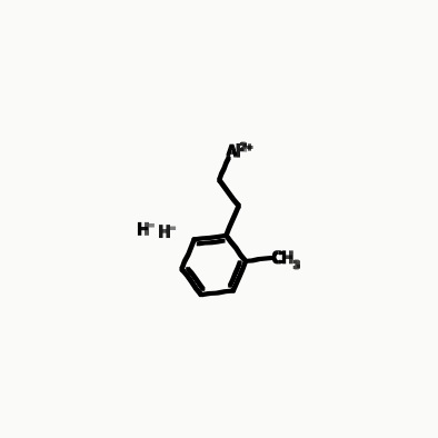 Cc1ccccc1C[CH2][Al+2].[H-].[H-]